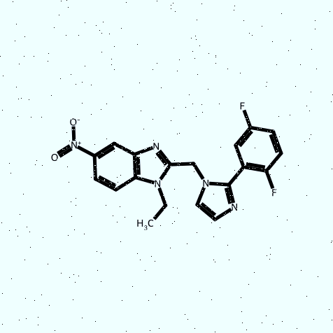 CCn1c(Cn2ccnc2-c2cc(F)ccc2F)nc2cc([N+](=O)[O-])ccc21